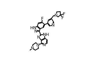 CN1CCN(c2nccc3[nH]c(-c4n[nH]c5cc(F)c(-c6cncc(CN7CCC(F)(F)C7)c6)cc45)nc23)CC1